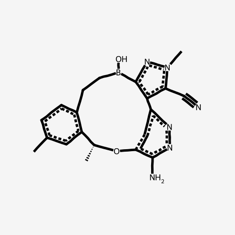 Cc1ccc2c(c1)[C@@H](C)Oc1cc(nnc1N)-c1c(nn(C)c1C#N)B(O)CC2